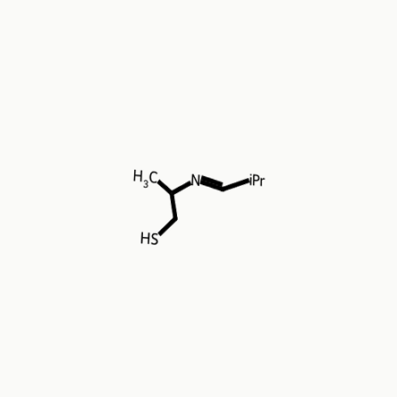 CC(C)/C=N/C(C)CS